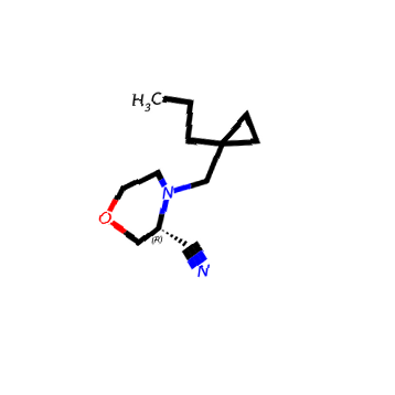 CCCC1(CN2CCOC[C@H]2C#N)CC1